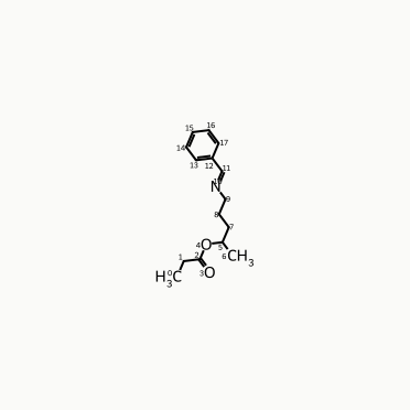 CCC(=O)OC(C)CCCN=Cc1ccccc1